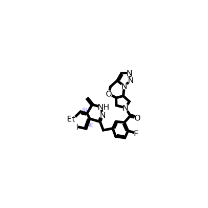 C=C1NN=C(Cc2ccc(F)c(C(=O)N3CC4OCc5cnnn5C4C3)c2)C(=C/I)/C1=C\CC